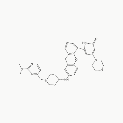 CN(C)c1nccc(CN2CCC(Nc3ccc4c(c3)Cc3cccc(-c5cc(N6CCOCC6)cc(=O)[nH]5)c3O4)CC2)n1